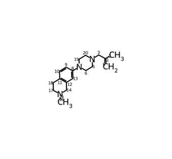 C=C(C)CN1CCN(c2ccc3c(c2)CN(C)CC3)CC1